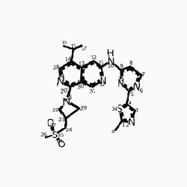 Cc1ncc(-c2nccc(Nc3cc4c(C(C)C)cnc(N5CC(CS(C)(=O)=O)C5)c4cn3)n2)s1